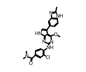 COc1nc(Nc2ccc(C(=O)N(C)C)cc2Cl)nc2[nH]cc(-c3ccc4[nH]c(C)nc4c3)c12